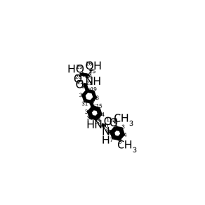 COc1ccc(C)cc1NC(=O)Nc1ccc(C2CCC(C(=O)N[C@@H](CO)C(=O)O)CC2)cc1